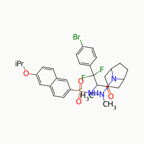 CC(C)Oc1ccc2cc(S(=O)(=O)NC(C(=O)N3C4CCC3CC(N(C)C)C4)C(F)(F)c3ccc(Br)cc3)ccc2c1